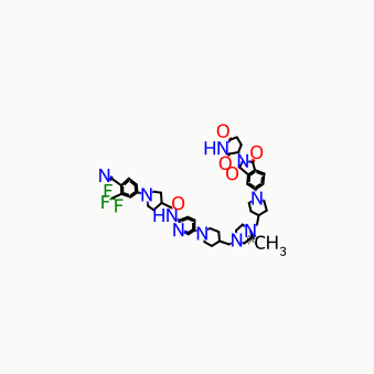 C[C@@H]1CN(CC2CCN(c3ccc(NC(=O)C4CCN(c5ccc(C#N)c(C(F)(F)F)c5)CC4)nc3)CC2)CCN1CC1CCN(c2ccc3c(c2)C(=O)N(C2CCC(=O)NC2=O)C3=O)CC1